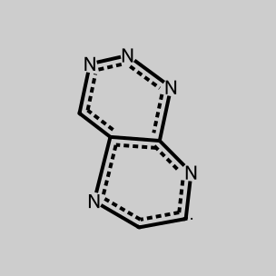 [c]1cnc2cnnnc2n1